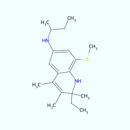 CCC(C)Nc1cc(SC)c2c(c1)C(C)=C(C)C(C)(CC)N2